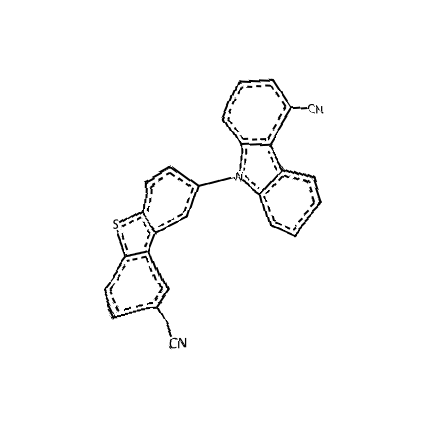 N#Cc1ccc2sc3ccc(-n4c5ccccc5c5c(C#N)cccc54)cc3c2c1